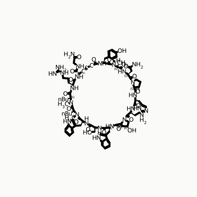 CCCC[C@H]1C(=O)N(C)[C@@H](CCCC)C(=O)N[C@@H](CCCNC(=N)N)C(=O)N[C@H](C(=O)NCC(N)=O)CSCC(=O)N[C@@H](Cc2ccc(O)cc2)C(=O)N(C)[C@@H](C)C(=O)N[C@@H](CC(N)=O)C(=O)N2CCC[C@H]2C(=O)N[C@@H](Cc2cnc[nH]2)C(=O)N[C@@H](CCN)C(=O)N2C[C@H](O)C[C@H]2C(=O)N[C@@H](Cc2c[nH]c3ccccc23)C(=O)N[C@@H](CO)C(=O)N[C@@H](Cc2c[nH]c3ccccc23)C(=O)N1C